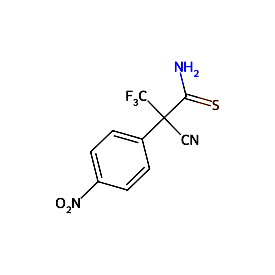 N#CC(C(N)=S)(c1ccc([N+](=O)[O-])cc1)C(F)(F)F